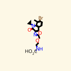 Cc1c(Br)ccc2c3oc(COCCNC(=O)O)nc3c(=O)n(C3CC3)c12